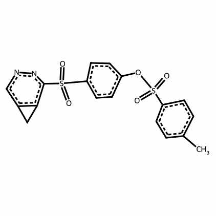 Cc1ccc(S(=O)(=O)Oc2ccc(S(=O)(=O)c3nncc4c3C4)cc2)cc1